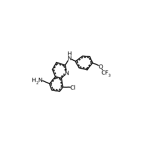 Nc1ccc(Cl)c2nc(Nc3ccc(OC(F)(F)F)cc3)ccc12